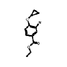 CCOC(=O)c1ccc(OC2CC2)c(Br)c1